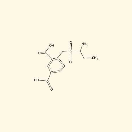 C=CC(N)S(=O)(=O)Cc1ccc(C(=O)O)cc1C(=O)O